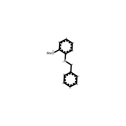 COc1ccccc1[N]Cc1ccccc1